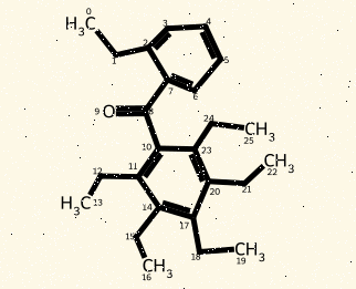 CCc1ccccc1C(=O)c1c(CC)c(CC)c(CC)c(CC)c1CC